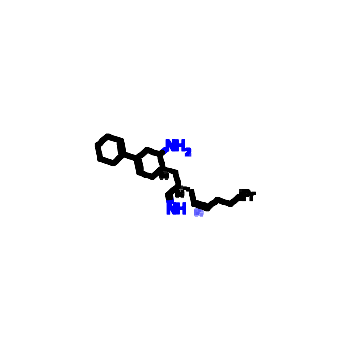 CC(C)CC/C=C\C[C@H](C=N)C[C@H]1CC=C(C2=CCCCC2)CC1N